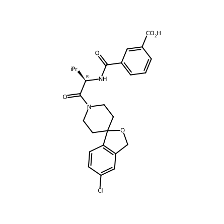 CC(C)[C@@H](NC(=O)c1cccc(C(=O)O)c1)C(=O)N1CCC2(CC1)OCc1cc(Cl)ccc12